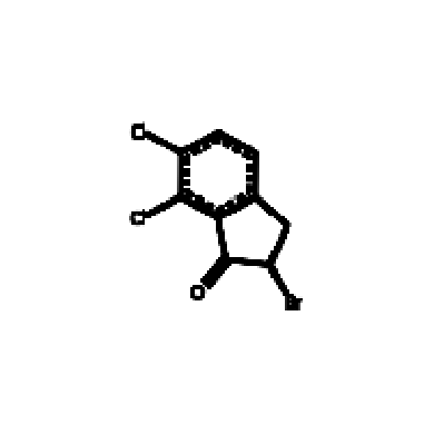 O=C1c2c(ccc(Cl)c2Cl)CC1Br